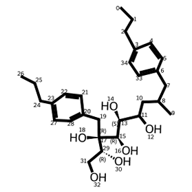 CCCc1ccc(CC(C)CC(O)[C@H](O)[C@@H](O)[C@@](O)(Cc2ccc(CCC)cc2)[C@H](O)CO)cc1